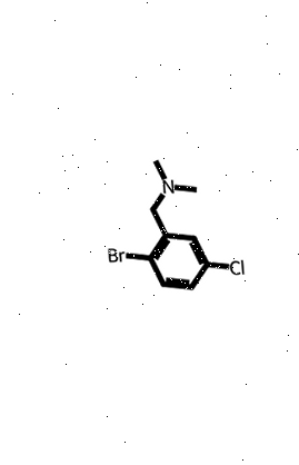 CN(C)Cc1cc(Cl)ccc1Br